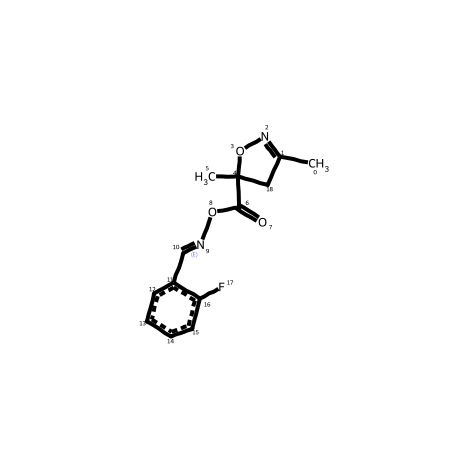 CC1=NOC(C)(C(=O)O/N=C/c2ccccc2F)C1